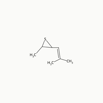 CC(C)=CC1SC1C